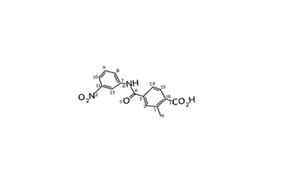 Cc1cc(C(=O)Nc2cccc([N+](=O)[O-])c2)ccc1C(=O)O